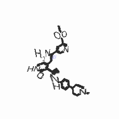 C=C(Nc1ccc(C2CCN(C)CC2)cc1)c1c(/C=C(\N)c2cncc(C3OC(C)O3)c2)cc[nH]c1=O